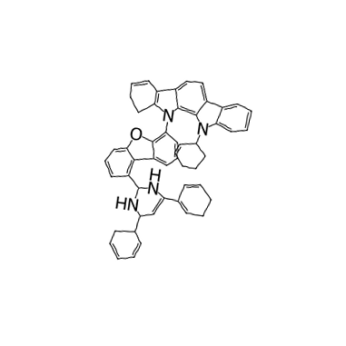 C1=CCC(C2C=C(C3=CCCC=C3)NC(c3cccc4oc5c(-n6c7c(c8ccc9c%10ccccc%10n(C%10C=CCCC%10)c9c86)C=CCC7)cccc5c34)N2)C=C1